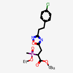 CCOP(C)(=O)C(Cc1nc(CCc2ccc(Cl)cc2)no1)C(=O)OC(C)(C)C